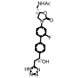 CC(=O)NC[C@H]1CN(c2ccc(-c3ccc([C@H](O)Cc4nnn[nH]4)cc3)c(F)c2)C(=O)O1